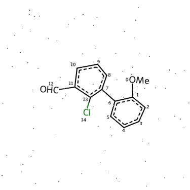 COc1ccccc1-c1cccc(C=O)c1Cl